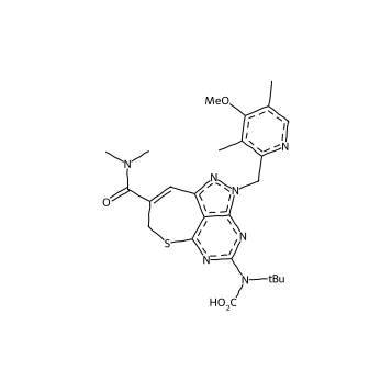 COc1c(C)cnc(Cn2nc3c4c(nc(N(C(=O)O)C(C)(C)C)nc42)SCC(C(=O)N(C)C)=C3)c1C